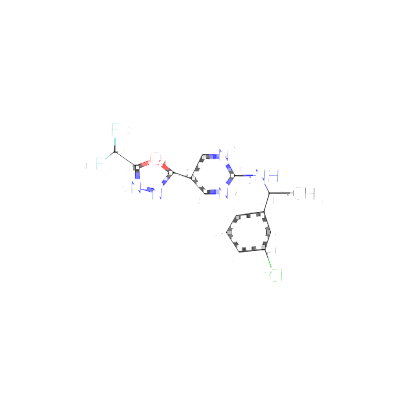 CC(Nc1ncc(-c2nnc(C(F)F)o2)cn1)c1cccc(Cl)c1